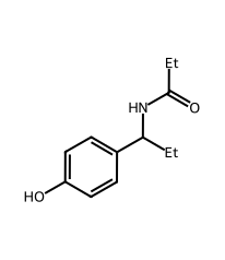 CCC(=O)NC(CC)c1ccc(O)cc1